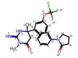 CN1C(=N)N[C@](C)(c2cccc(OC(F)(F)F)c2)[C@H](c2ccc(N3CCCC3=O)cc2)C1=O